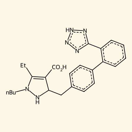 CCCCN1NC(Cc2ccc(-c3ccccc3-c3nn[nH]n3)cc2)C(C(=O)O)=C1CC